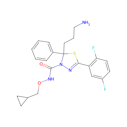 NCCCC1(c2ccccc2)SC(c2cc(F)ccc2F)=NN1C(=O)NOCC1CC1